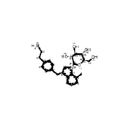 Cc1cccc2c(Cc3ccc(CCN)cc3)cn([C@@H]3O[C@H](CO)[C@@H](O)[C@H](O)[C@H]3O)c12